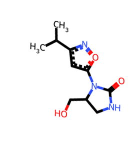 CC(C)c1cc(N2C(=O)NCC2CO)on1